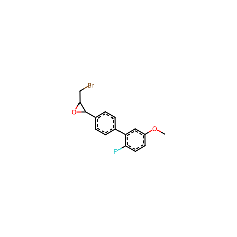 COc1ccc(F)c(-c2ccc(C3OC3CBr)cc2)c1